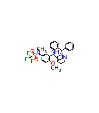 COc1ccc(N(C)S(=O)(=O)C(F)(F)F)cc1C(N)C1C2CCN(CC2)C1C(c1ccccc1)c1ccccc1